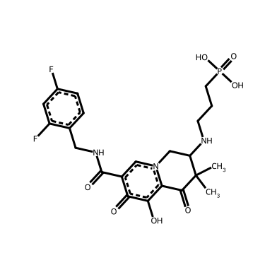 CC1(C)C(=O)c2c(O)c(=O)c(C(=O)NCc3ccc(F)cc3F)cn2CC1NCCCP(=O)(O)O